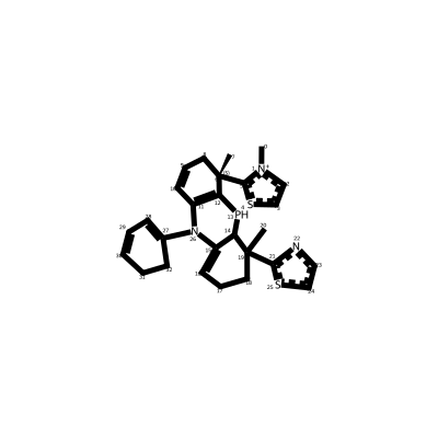 C[n+]1ccsc1[C@@]1(C)CC=CC2=C1PC1C(=CCCC1(C)c1nccs1)N2C1=CC=CCC1